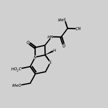 COCC1=C(C(=O)O)N2C(=O)C(NC(=O)C(C#N)SC)[C@@H]2SC1